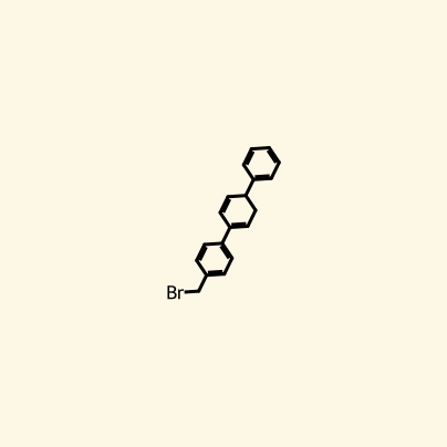 BrCc1ccc(C2=CCC(c3ccccc3)C=C2)cc1